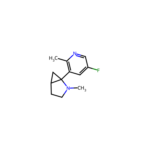 Cc1ncc(F)cc1C12CC1CCN2C